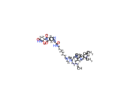 C#C/C=C(\C=C/CN1CCN(CCCCCCCCNC(=O)CNc2ccc3c(c2)C(=O)N(C2CCC(=O)NC2=O)C3=O)CC1)CC1CN(CC(=C(C)C)/C(C)=C\C=C)C[C@@H]1N(C)C